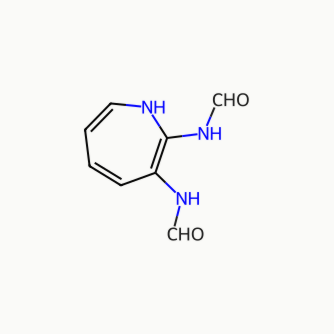 O=CNC1=C(NC=O)NC=CC=C1